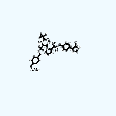 CNCC1CCC(CSC(C)(C)C(NC(=O)C2(F)CC2)C(=O)N2CCCC2C(=O)NCc2ccc(-c3scnc3C)cc2)CC1